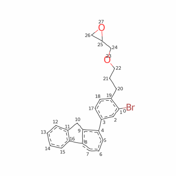 Brc1cc(-c2cccc3c2Cc2ccccc2-3)ccc1CCCOCC1CO1